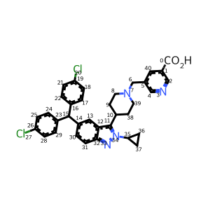 O=C(O)c1cncc(CN2CCC(c3c4cc(C(c5ccc(Cl)cc5)c5ccc(Cl)cc5)ccc4nn3C3CC3)CC2)c1